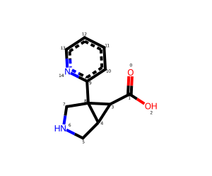 O=C(O)C1C2CNCC21c1ccccn1